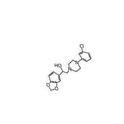 OC(CN1CCN(c2cccc(Cl)c2)CC1)c1ccc2c(c1)OCO2